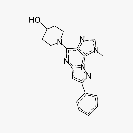 Cn1cnc2c(N3CCC(O)CC3)nc3cc(-c4ccccc4)nn3c21